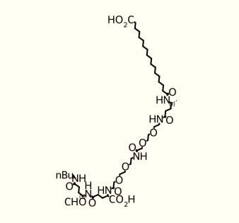 CCCCNC(=O)CC[C@@H](C=O)NC(=O)CCC(NC(=O)COCCOCCNC(=O)COCCOCCNC(=O)CC[C@@H](C)NC(=O)CCCCCCCCCCCCCCCCC(=O)O)C(=O)O